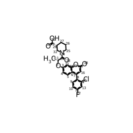 C[C@@H](Oc1ccc2c(-c3ccc(F)cc3Cl)cc(=O)oc2c1)C(=O)N1CCC[C@@H](C(=O)O)C1